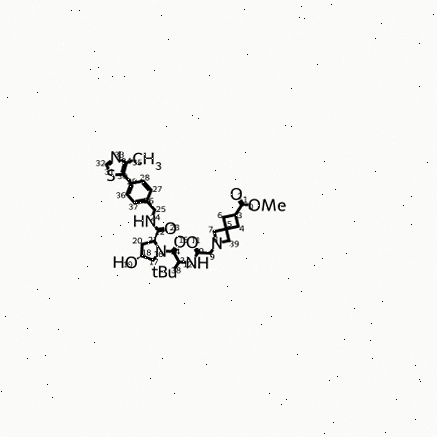 COC(=O)C1CC2(C1)CN(CC(=O)NC(C(=O)N1C[C@H](O)C[C@H]1C(=O)NCc1ccc(-c3scnc3C)cc1)C(C)(C)C)C2